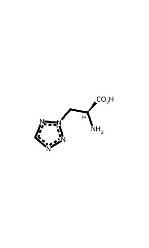 N[C@@H](Cn1ncnn1)C(=O)O